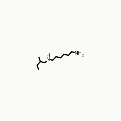 CCC(C)CNCCCCCCN